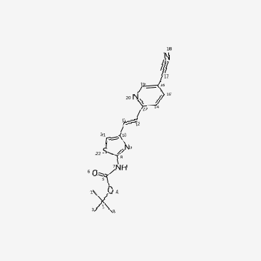 CC(C)(C)OC(=O)Nc1nc(C=Cc2ccc(C#N)cn2)cs1